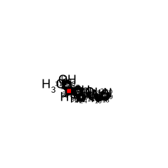 C[C@H]1O[C@@H]2C[C@@H]3C(CC[C@]4(C)[C@@H](C(=O)Cn5cc6ccncc6n5)CC[C@@H]34)[C@]13CC[C@@](C)(O)CC23